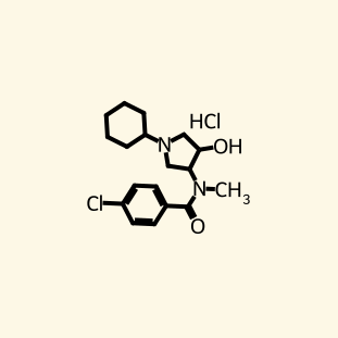 CN(C(=O)c1ccc(Cl)cc1)C1CN(C2CCCCC2)CC1O.Cl